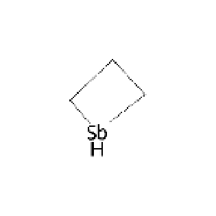 C1[CH2][SbH][CH2]1